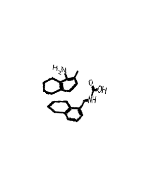 Cc1ccc2c(c1N)CCCC2.O=C(O)NCc1cccc2c1CCCC2